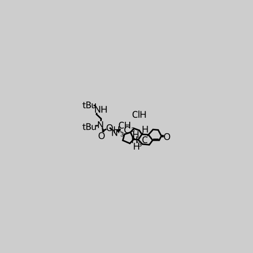 C/C(=N\OC(=O)N(CCNC(C)(C)C)C(C)(C)C)[C@H]1CC[C@H]2[C@@H]3CCC4=CC(=O)CC[C@]4(C)[C@H]3CC[C@]12C.Cl